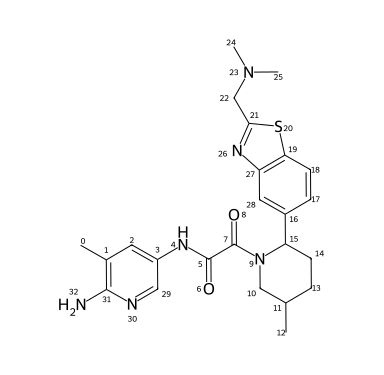 Cc1cc(NC(=O)C(=O)N2CC(C)CCC2c2ccc3sc(CN(C)C)nc3c2)cnc1N